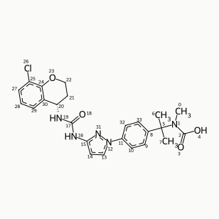 CN(C(=O)O)C(C)(C)c1ccc(-n2ccc(NC(=O)N[C@H]3CCOc4c(Cl)cccc43)n2)cc1